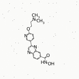 CN(C)CCOc1ccc(-c2cnc3ccc(C(=O)NO)cc3n2)cn1